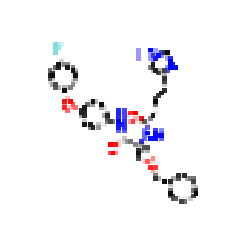 O=C(CCCc1c[nH]cn1)N[C@@H](COCc1ccccc1)C(=O)Nc1ccc(Oc2ccc(F)cc2)cc1